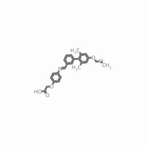 COCOc1cc(C)c(-c2cccc(C=Nc3ccc(OCC(=O)O)cc3)c2)c(C)c1